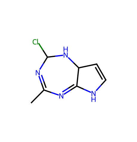 CC1=NC(Cl)NC2C=CNC2=N1